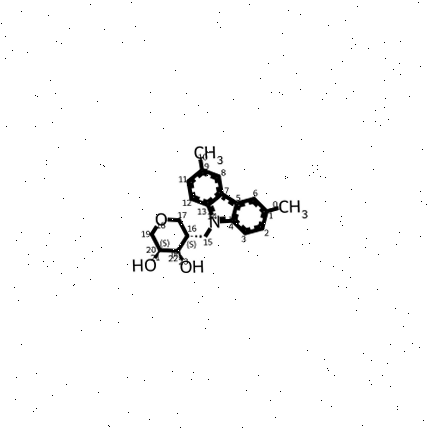 Cc1ccc2c(c1)c1cc(C)ccc1n2C[C@H]1COC[C@H](O)[C@@H]1O